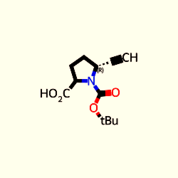 C#C[C@H]1CCC(C(=O)O)N1C(=O)OC(C)(C)C